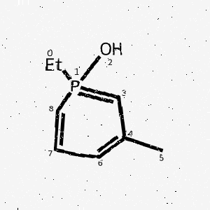 CCP1(O)=CC(C)=CC=C1